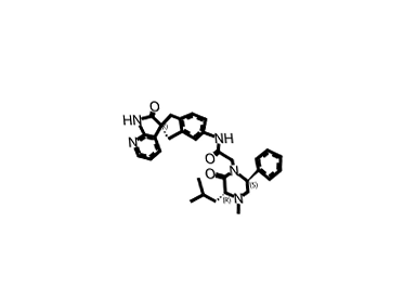 CC(C)C[C@@H]1C(=O)N(CC(=O)Nc2ccc3c(c2)C[C@@]2(C3)C(=O)Nc3ncccc32)[C@@H](c2ccccc2)CN1C